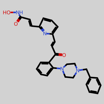 O=C(C=Cc1cccc(C=CC(=O)c2ccccc2N2CCN(Cc3ccccc3)CC2)n1)NO